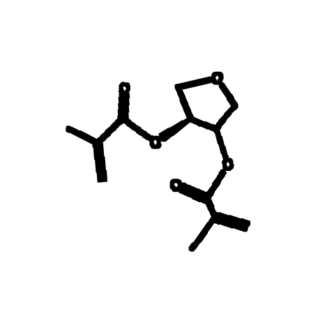 C=C(C)C(=O)OC1COC[C@@H]1OC(=O)C(=C)C